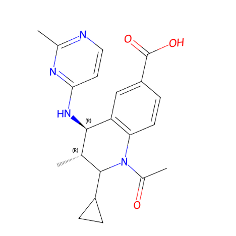 CC(=O)N1c2ccc(C(=O)O)cc2[C@H](Nc2ccnc(C)n2)[C@@H](C)C1C1CC1